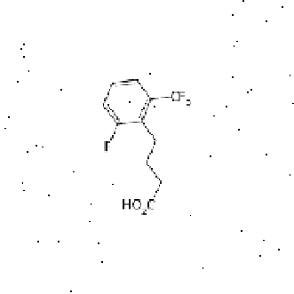 O=C(O)CCCc1c(F)cccc1C(F)(F)F